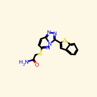 NC(=O)CSc1ccc2nnc(-c3cc4ccccc4s3)n2n1